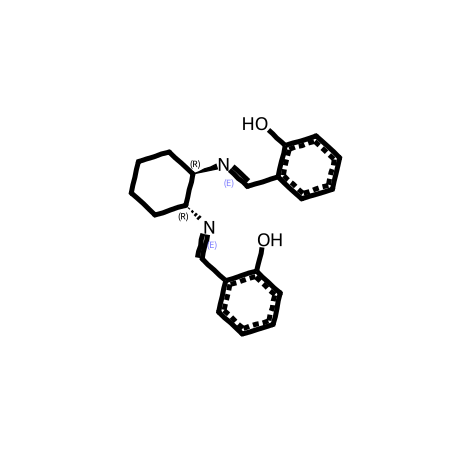 Oc1ccccc1/C=N/[C@@H]1CCCC[C@H]1/N=C/c1ccccc1O